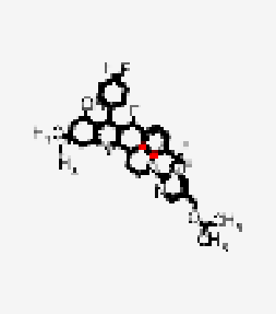 CC(C)OCc1cnc(N2CCC(c3nc4c(c(C5CCC(F)(F)CC5)c3[C@@H](F)c3ccc(C(F)(F)F)cc3)[C@@H](O)CC(C)(C)C4)CC2)nc1